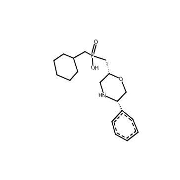 O=P(O)(CC1CCCCC1)C[C@H]1CN[C@@H](c2ccccc2)CO1